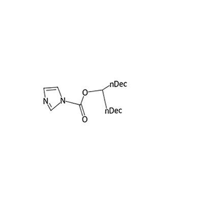 CCCCCCCCCCC(CCCCCCCCCC)OC(=O)n1ccnc1